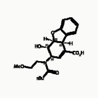 CCCCC(=O)N(CCOC)[C@@H]1C=C(C(=O)O)[C@@H]2c3ccccc3O[C@@H]2[C@H]1O